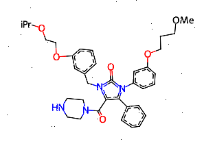 COCCCOc1cccc(-n2c(-c3ccccc3)c(C(=O)N3CCNCC3)n(Cc3cccc(OCCOC(C)C)c3)c2=O)c1